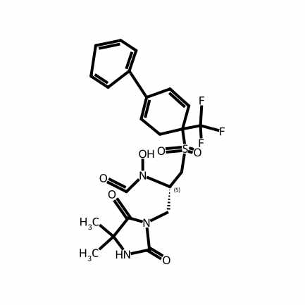 CC1(C)NC(=O)N(C[C@@H](CS(=O)(=O)C2(C(F)(F)F)C=CC(c3ccccc3)=CC2)N(O)C=O)C1=O